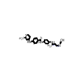 C#C/N=C\C=C(/C)Nc1ccc(NC(=O)c2ccc(Nc3ccnc(C)c3)cc2)cc1